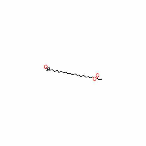 C=CC(=O)OCCCCCCCCCCCCCCCCCCCC[Si](C)(C)OC